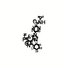 O=C(NC1CC1)c1cnc(-n2cnc(-c3c(-c4ccccc4)noc3C(F)(F)F)c2)cn1